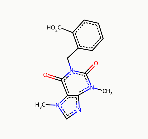 Cn1cnc2c1c(=O)n(Cc1ccccc1C(=O)O)c(=O)n2C